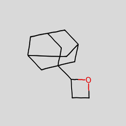 C1CC(C23CC4CC(CC(C4)C2)C3)O1